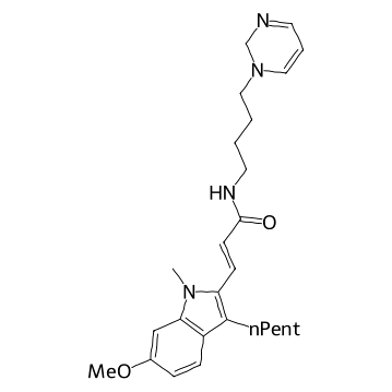 CCCCCc1c(/C=C/C(=O)NCCCCN2C=CC=NC2)n(C)c2cc(OC)ccc12